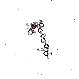 CN(c1cccc(N2CCN(CC(=O)N3CCC(Oc4cccc(N5[C@H]6COC[C@H]5CN(c5cc(-c7ccccc7O)nnc5N)C6)c4)CC3)CC2)c1)C1CCC(=O)NC1=O